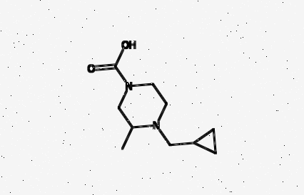 CC1CN(C(=O)O)CCN1CC1CC1